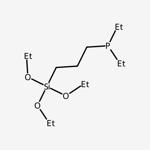 CCO[Si](CCCP(CC)CC)(OCC)OCC